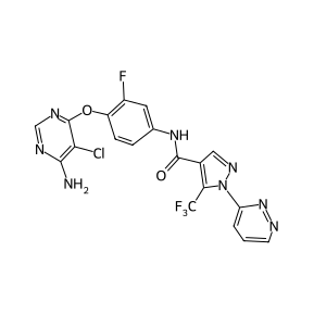 Nc1ncnc(Oc2ccc(NC(=O)c3cnn(-c4cccnn4)c3C(F)(F)F)cc2F)c1Cl